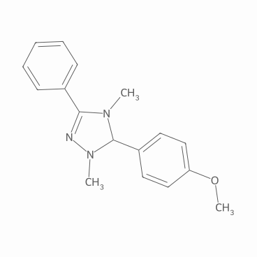 COc1ccc(C2N(C)N=C(c3ccccc3)N2C)cc1